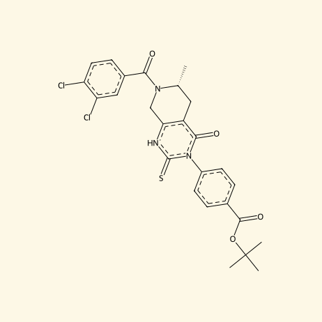 C[C@@H]1Cc2c([nH]c(=S)n(-c3ccc(C(=O)OC(C)(C)C)cc3)c2=O)CN1C(=O)c1ccc(Cl)c(Cl)c1